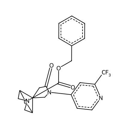 O=C(OCc1ccccc1)N1CC2CC(C1)C21CC(=O)N(c2ccnc(C(F)(F)F)c2)C1